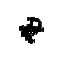 C=C.CC(=S)C1CCSC(C(=O)O)(C(C)=S)S1.O=C(O)C1SCCCS1.OC1CSC(O)CS1.OC1CSCCCSCC(O)CSCCCSC1